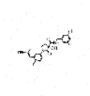 C/C(C#N)=C\c1cc(N2CC[C@](O)(C(=O)NCc3cc(F)cc(Cl)c3)C2=O)ccc1I